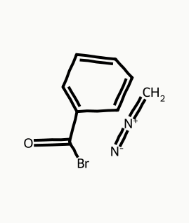 C=[N+]=[N-].O=C(Br)c1ccccc1